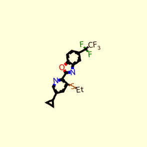 CCSc1cc(C2CC2)cnc1-c1nc2cc(C(F)(F)C(F)(F)F)ccc2o1